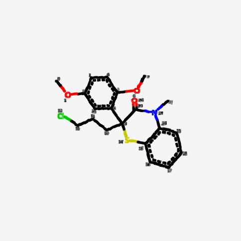 COc1ccc(OC)c(C2(CCCCl)Sc3ccccc3N(C)C2=O)c1